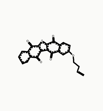 C=CCCOc1ccc2c(=O)c3sc4c(=O)c5ccccc5c(=O)c4c3c(=O)c2c1